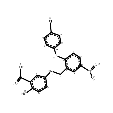 O=C(O)c1cc(NCc2cc([N+](=O)[O-])ccc2Sc2ccc(Cl)cc2)ccc1O